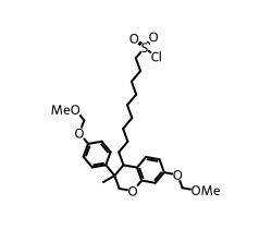 COCOc1ccc(C2(C)COc3cc(OCOC)ccc3C2CCCCCCCCCS(=O)(=O)Cl)cc1